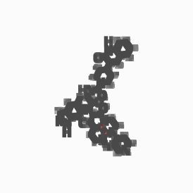 CCCN1CCC(C[C@@H](NC(=O)[C@H](Cc2cc(C)c3[nH]ncc3c2)NC(=O)N2CCC(c3cc4ccccc4[nH]c3=O)CC2)C(=O)N2CCN(c3ccncc3)CC2)CC1